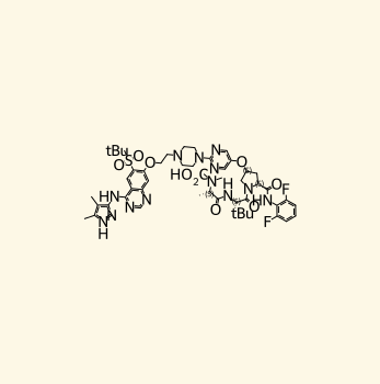 Cc1[nH]nc(Nc2ncnc3cc(OCCN4CCN(c5ncc(O[C@H]6C[C@@H](C(=O)Nc7c(F)cccc7F)N(C(=O)[C@@H](NC(=O)[C@H](C)N(C)C(=O)O)C(C)(C)C)C6)cn5)CC4)c(S(=O)(=O)C(C)(C)C)cc23)c1C